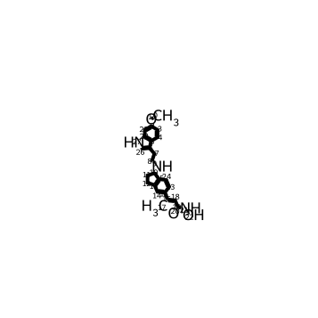 COc1ccc2c(CCNC3CCc4cc(C(C)=CC(=O)NO)ccc43)c[nH]c2c1